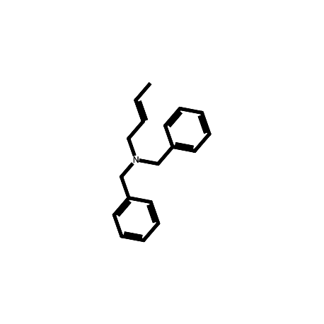 C/C=C/CN(Cc1ccccc1)Cc1ccccc1